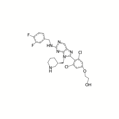 OCCOc1cc(Cl)c(-c2nc3cnc(NCc4ccc(F)c(F)c4)nc3n2C[C@@H]2CCCNC2)c(Cl)c1